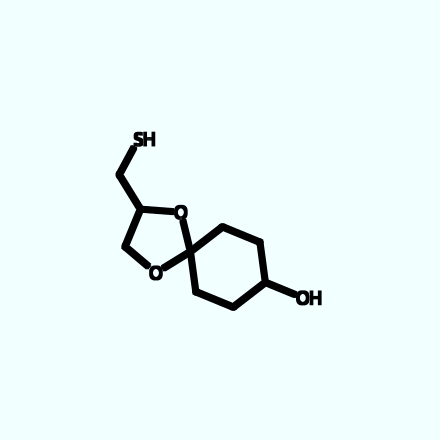 OC1CCC2(CC1)OCC(CS)O2